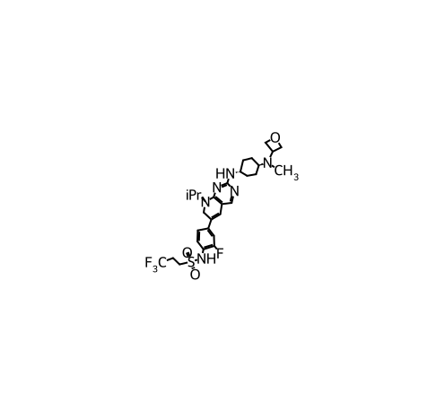 CC(C)N1CC(c2ccc(NS(=O)(=O)CCC(F)(F)F)c(F)c2)=Cc2cnc(N[C@H]3CC[C@H](N(C)C4COC4)CC3)nc21